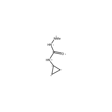 CNNC(=O)NC1CC1